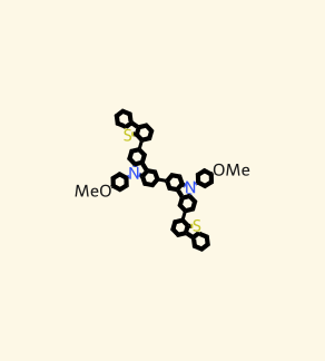 COc1ccc(-n2c3ccc(-c4ccc5c(c4)c4cc(-c6cccc7c6sc6ccccc67)ccc4n5-c4ccc(OC)cc4)cc3c3cc(-c4cccc5c4sc4ccccc45)ccc32)cc1